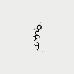 COC(=O)CC1CCN(C(=O)c2ncc(Cl)c(Cc3cc4ccc(OC(F)(F)F)cc4n3C)c2Cl)CC1